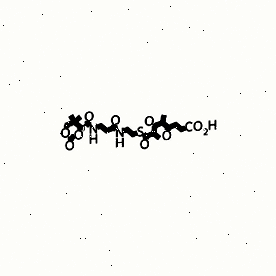 CC(C(=O)CCC(=O)O)C(=O)C(C)C(=O)SCCNC(=O)CCNC(=O)[C@@H]1OC(=O)OCC1(C)C